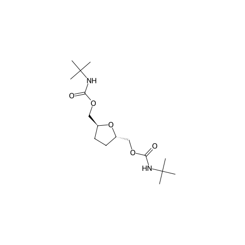 CC(C)(C)NC(=O)OC[C@@H]1CC[C@@H](COC(=O)NC(C)(C)C)O1